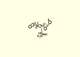 C[C@@H]1CN(C(=O)c2ccccc2SCc2cccc(F)c2)[C@@H](CCCNC(=N)N)CN1C(=O)Cc1ccc2ccccc2c1